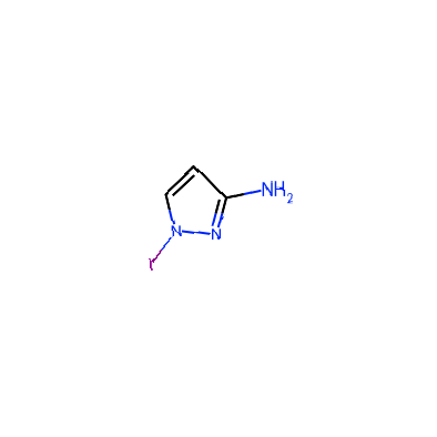 Nc1ccn(I)n1